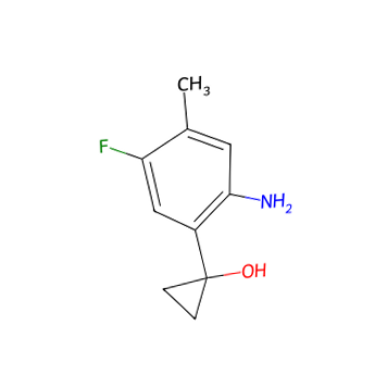 Cc1cc(N)c(C2(O)CC2)cc1F